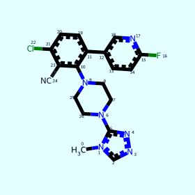 Cn1cnnc1N1CCN(c2c(-c3ccc(F)nc3)ccc(Cl)c2C#N)CC1